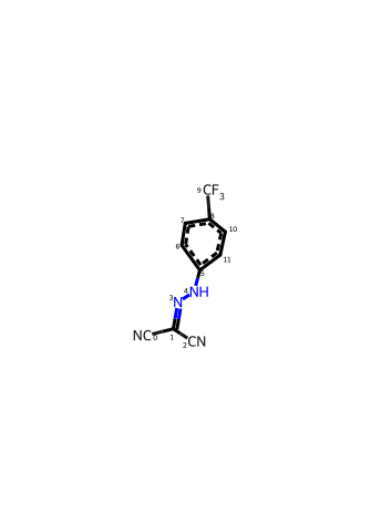 N#CC(C#N)=NNc1ccc(C(F)(F)F)cc1